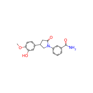 COc1ccc(C2CC(=O)N(c3cccc(C(N)=O)c3)C2)cc1O